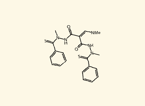 CNC=C(C(=O)NN(C)C(=S)c1ccccc1)C(=O)NN(C)C(=S)c1ccccc1